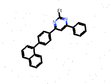 CCc1nc(-c2ccccc2)cc(-c2ccc(-c3cccc4ccccc34)cc2)n1